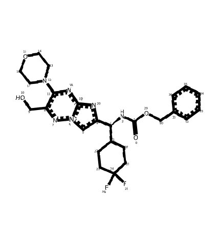 O=C(N[C@H](c1cn2nc(CO)c(N3CCOCC3)nc2n1)C1CCC(F)(F)CC1)OCc1ccccc1